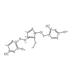 CCc1n(OCc2ccc(Cl)cc2Cl)cc[n+]1OCc1ccc(Cl)cc1Cl